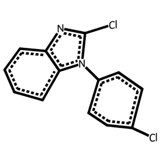 Clc1ccc(-n2c(Cl)nc3ccccc32)cc1